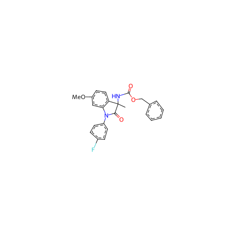 COc1ccc2c(c1)N(c1ccc(F)cc1)C(=O)C2(C)NC(=O)OCc1ccccc1